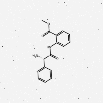 COC(=O)c1ccccc1NC(=O)[C@@H](N)c1ccccc1